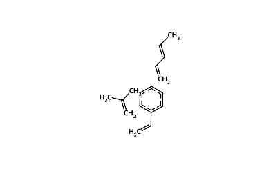 C=C(C)C.C=CC=CC.C=Cc1ccccc1